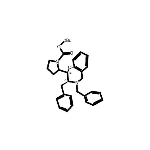 CC(C)(C)OC(=O)N1CCCC1[C@@H](O)[C@H](Cc1ccccc1)N(Cc1ccccc1)Cc1ccccc1